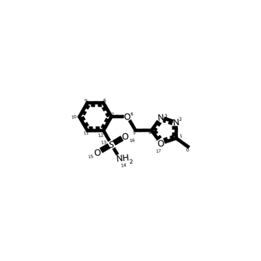 Cc1nnc(COc2ccccc2S(N)(=O)=O)o1